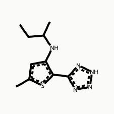 CCC(C)Nc1cc(C)sc1-c1nn[nH]n1